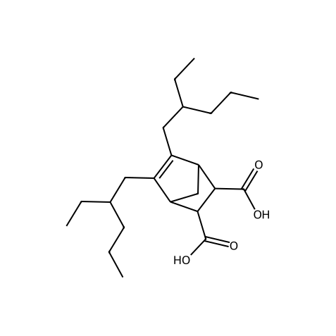 CCCC(CC)CC1=C(CC(CC)CCC)C2CC1C(C(=O)O)C2C(=O)O